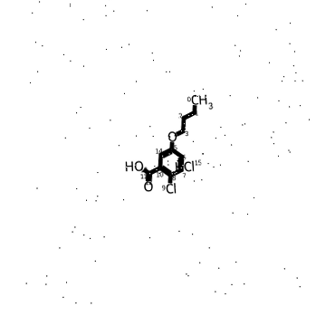 CCCCOc1ccc(Cl)c(C(=O)O)c1.Cl